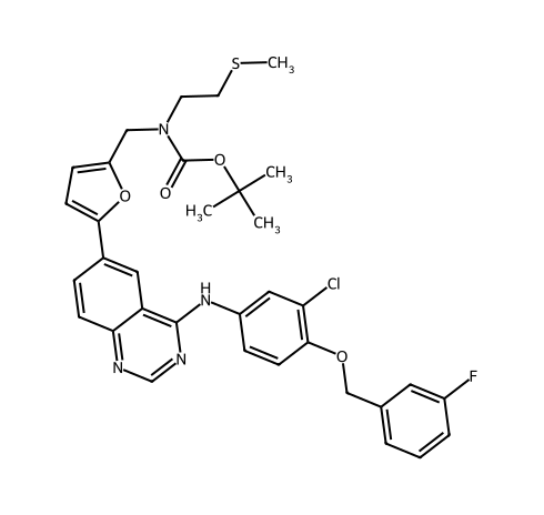 CSCCN(Cc1ccc(-c2ccc3ncnc(Nc4ccc(OCc5cccc(F)c5)c(Cl)c4)c3c2)o1)C(=O)OC(C)(C)C